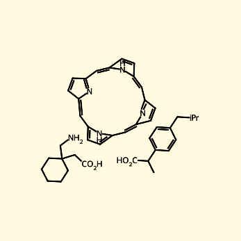 C1=Cc2cc3ccc(cc4nc(cc5ccc(cc1n2)[nH]5)C=C4)[nH]3.CC(C)Cc1ccc(C(C)C(=O)O)cc1.NCC1(CC(=O)O)CCCCC1